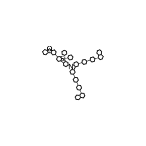 c1ccc([Si]2(c3ccccc3)c3cc(-c4ccc5oc6ccccc6c5c4)ccc3-c3ccc(-n4c5ccc(-c6ccc(-c7ccc(-c8cccc9ccccc89)cc7)cc6)cc5c5cc(-c6ccc(-c7ccc(-c8cccc9ccccc89)cc7)cc6)ccc54)cc32)cc1